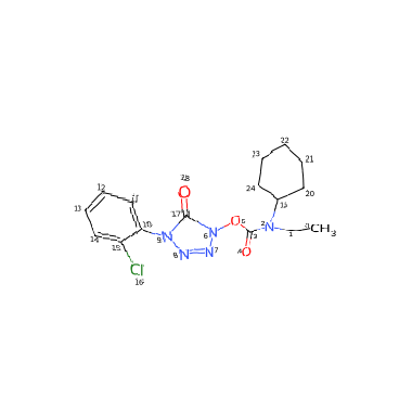 CCN(C(=O)On1nnn(-c2ccccc2Cl)c1=O)C1CCCCC1